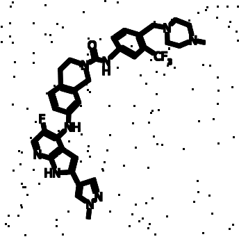 CN1CCN(Cc2ccc(NC(=O)N3CCc4ccc(Nc5c(F)cnc6[nH]c(-c7cnn(C)c7)cc56)cc4C3)cc2C(F)(F)F)CC1